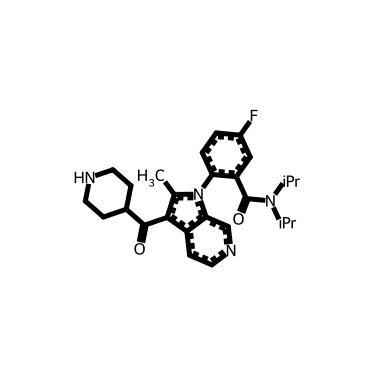 Cc1c(C(=O)C2CCNCC2)c2ccncc2n1-c1ccc(F)cc1C(=O)N(C(C)C)C(C)C